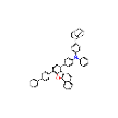 c1ccc(-c2ccc(-c3ccc(-c4ccc(N(c5ccccc5)c5ccc(C6C7CC8CC(C7)CC6C8)cc5)cc4)c4c3oc3c5ccccc5ccc34)cc2)cc1